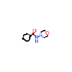 O=C(NN1CCOCC1)c1[c]cccc1